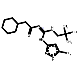 CC(C)(O)CN/C(=N/C(=O)CC1CCCCC1)Nc1cc(C(F)(F)F)[nH]n1